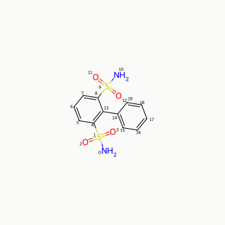 NS(=O)(=O)c1cccc(S(N)(=O)=O)c1-c1ccccc1